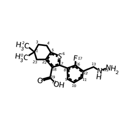 CC1(C)CCc2sc(-c3cccc(CNN)c3F)c(C(=O)O)c2C1